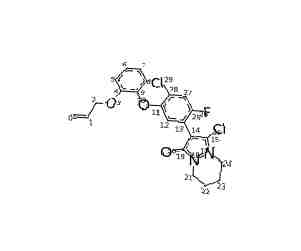 C=CCOc1ccccc1Oc1cc(-c2c(Cl)n3n(c2=O)CCCC3)c(F)cc1Cl